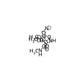 CCNCCS(=O)(=O)Oc1ccc(-c2cc3cc(CN4CCCCC4)ccc3n2C(=O)OC(C)(C)C)c2c1CNC2=O